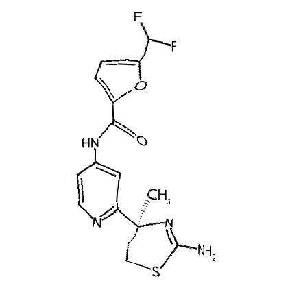 C[C@@]1(c2cc(NC(=O)c3ccc(C(F)F)o3)ccn2)CCSC(N)=N1